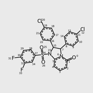 O=c1cccc2n1C(c1ccc(Cl)cc1)C(c1ccc(Cl)cc1)N2S(=O)(=O)c1ccc(F)c(F)c1